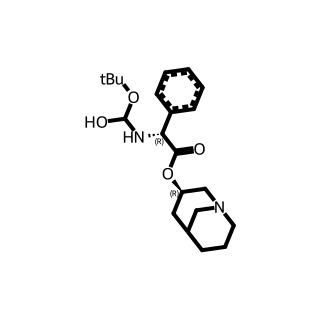 CC(C)(C)OC(O)N[C@@H](C(=O)O[C@@H]1CC2CCCN(C2)C1)c1ccccc1